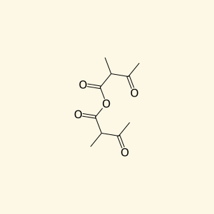 CC(=O)C(C)C(=O)OC(=O)C(C)C(C)=O